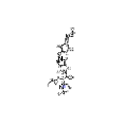 C=C/C(=N\C(=C)C)C(COCC)C(=O)N1Cc2cn(Sc3ccc4c(c3)N4OSC)nc2C1